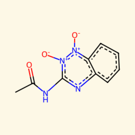 CC(=O)Nc1nc2ccccc2[n+]([O-])[n+]1[O-]